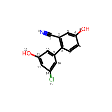 N#Cc1cc(O)c[c]c1-c1cc(O)cc(Cl)c1